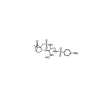 CC(C)(C)c1ccc(S(=O)(=O)NCC(NS(=O)(=O)CC23CCC(CC2=O)C3(C)C)C(=O)NO)cc1